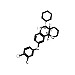 Clc1ccc(Oc2ccc3c(c2)[C@H]2OCCC[C@H]2[C@@H](C2CCCCC2)N3)cc1Cl